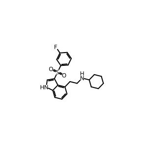 O=S(=O)(c1cccc(F)c1)c1c[nH]c2cccc(CCNC3CCCCC3)c12